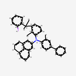 Cc1cc(-c2ccccc2)ccc1N(c1cc2c3c(cccc3c1)CC=C2)c1cccc(C(C)(C)c2ccccc2I)c1C